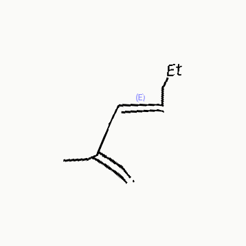 [CH]=C(C)/C=C/CC